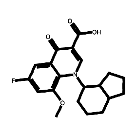 COc1cc(F)cc2c(=O)c(C(=O)O)cn(C3CCCC4CCCC43)c12